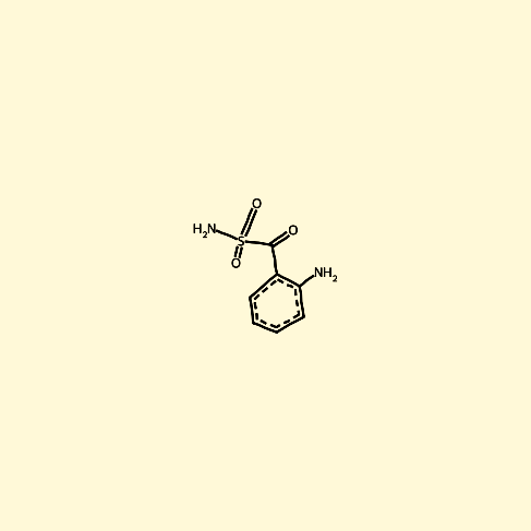 Nc1ccccc1C(=O)S(N)(=O)=O